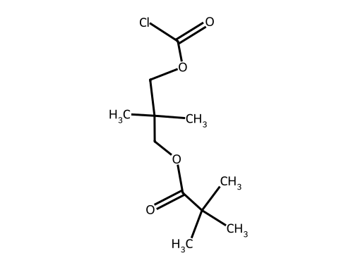 CC(C)(COC(=O)Cl)COC(=O)C(C)(C)C